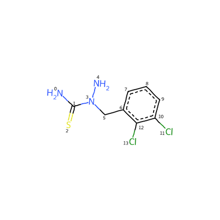 NC(=S)N(N)Cc1cccc(Cl)c1Cl